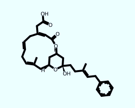 C/C(=C\Cc1ccccc1)CC[C@@]1(O)C[C@H]2C[C@@H](C/C(C)=C/C/C=C/C/C(CC(=O)O)=C\C(=O)O2)O1